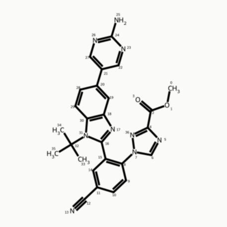 COC(=O)c1ncn(-c2ccc(C#N)cc2-c2nc3cc(-c4cnc(N)nc4)ccc3n2C(C)(C)C)n1